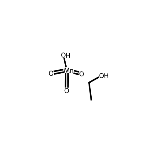 CCO.[O]=[Mn](=[O])(=[O])[OH]